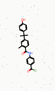 Cc1cc(C(C)(C)c2ccc(O)cc2)ccc1C(=O)Nc1ccc(C(=O)Cl)cc1